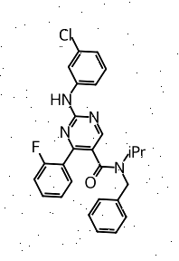 CC(C)N(Cc1ccccc1)C(=O)c1cnc(Nc2cccc(Cl)c2)nc1-c1ccccc1F